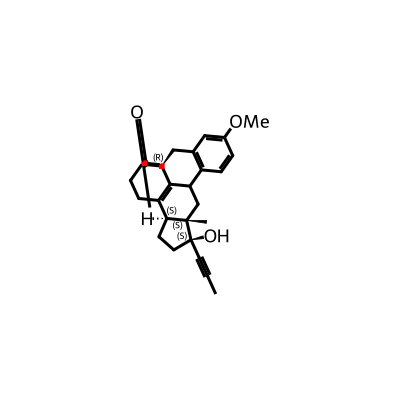 CC#C[C@]1(O)CC[C@H]2C3=C4C(C[C@@]21C)c1ccc(OC)cc1C[C@@]41CCC(=O)C=C1CC3